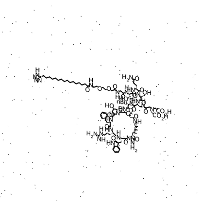 CCCC[C@H](NC(=O)[C@H](CNC(=O)CN(CC(=O)O)CC(=O)O)NC(=O)[C@H](CO)NC(=O)[C@H](CCC(N)=O)NC(=O)[C@H](CO)NC(=O)CNC(=O)COCCOCCNC(=O)CCCCCCCCCCCCCCCc1nnn[nH]1)C(=O)N[C@H]1CCC(=O)NCCCC[C@@H](C(N)=O)NC(=O)[C@H](Cc2c[nH]c3ccccc23)NC(=O)[C@H](CCCNC(=N)N)NC(=O)[C@@H](Cc2ccccc2)NC(=O)[C@@H]2C[C@@H](O)CN2C1=O